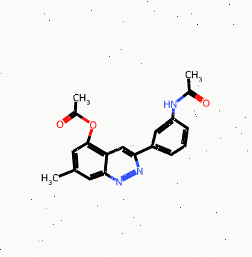 CC(=O)Nc1cccc(-c2cc3c(OC(C)=O)cc(C)cc3nn2)c1